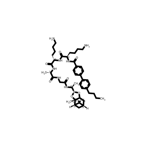 CCCCc1ccc(-c2ccc(C(=O)N[C@H](CCCCN)C(=O)N[C@@H](CCCCN)C(=O)N[C@@H](C)C(=O)NCC(=O)N[C@@H](C)B3OC4C[C@@H]5C[C@@H](C5(C)C)[C@]4(C)O3)cc2)cc1